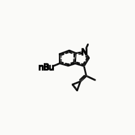 CCCCc1ccc2c(c1)c(C(C)=C1CC1)cn2C